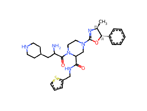 C[C@@H]1N=C(N2CCN(C(=O)C(N)CC3CCNCC3)C(C(=O)NCc3cccs3)C2)O[C@H]1c1ccccc1